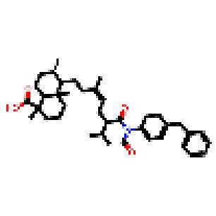 C/C(=C/CC(C(=O)N(C=O)C1=CC=C(Cc2ccccc2)CC1)C(C)C)CCC1[C@H](C)CCC2C(C)(C(=O)O)CCCC12C